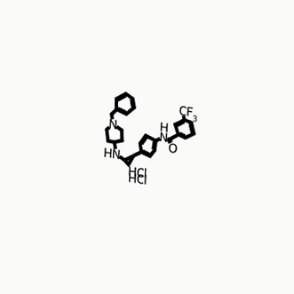 Cl.Cl.O=C(Nc1ccc(C2CC2NC2CCN(Cc3ccccc3)CC2)cc1)c1cccc(C(F)(F)F)c1